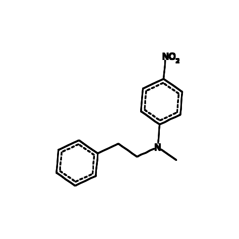 CN(CCc1ccccc1)c1ccc([N+](=O)[O-])cc1